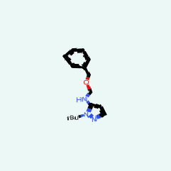 CC(C)(C)n1nccc1NCOCc1ccccc1